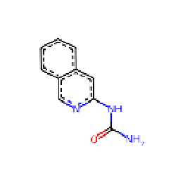 NC(=O)Nc1cc2ccccc2cn1